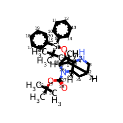 CC1[C@H]2CN[C@@H]3[C@H](O[Si](c4ccccc4)(c4ccccc4)C(C)(C)C)[C@@H]1N(C(=O)OC(C)(C)C)[C@H]3C2